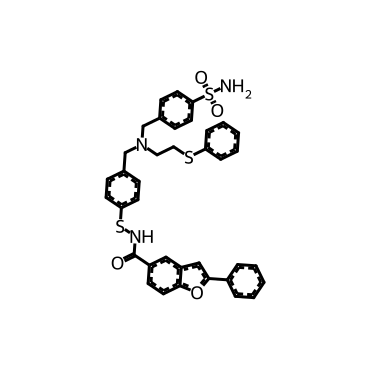 NS(=O)(=O)c1ccc(CN(CCSc2ccccc2)Cc2ccc(SNC(=O)c3ccc4oc(-c5ccccc5)cc4c3)cc2)cc1